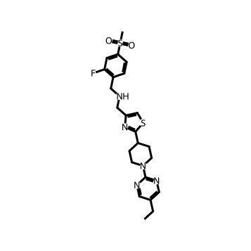 CCc1cnc(N2CCC(c3nc(CNCc4ccc(S(C)(=O)=O)cc4F)cs3)CC2)nc1